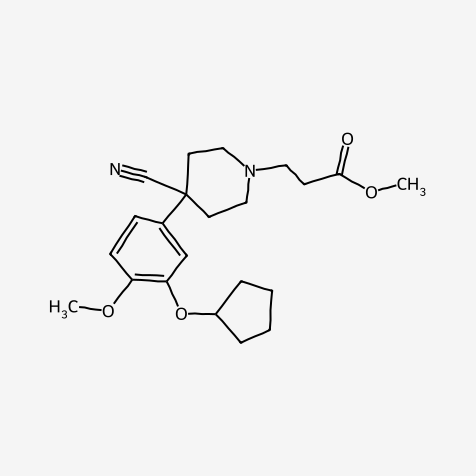 COC(=O)CCN1CCC(C#N)(c2ccc(OC)c(OC3CCCC3)c2)CC1